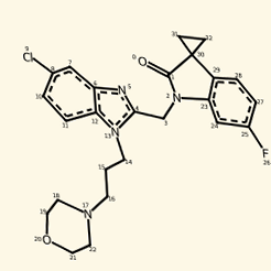 O=C1N(Cc2nc3cc(Cl)ccc3n2CCCN2CCOCC2)c2cc(F)ccc2C12CC2